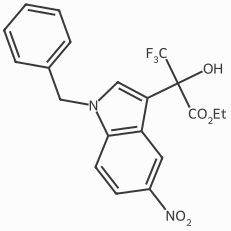 CCOC(=O)C(O)(c1cn(Cc2ccccc2)c2ccc([N+](=O)[O-])cc12)C(F)(F)F